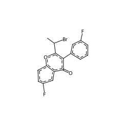 CC(Br)c1oc2ccc(F)cc2c(=O)c1-c1cccc(F)c1